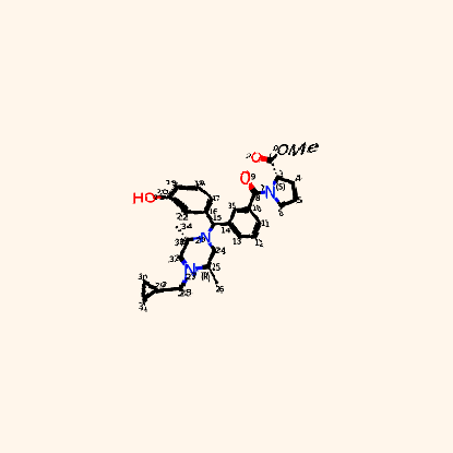 COC(=O)[C@@H]1CCCN1C(=O)c1cccc(C(c2cccc(O)c2)N2C[C@@H](C)N(CC3CC3)C[C@@H]2C)c1